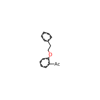 CC(=O)c1ccccc1OCCc1ccccc1